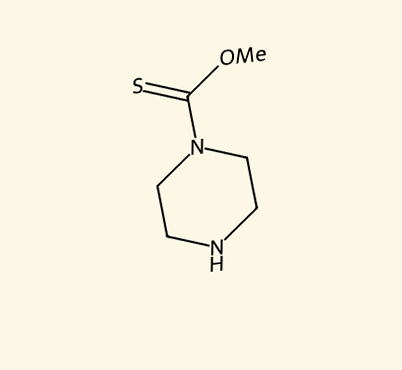 COC(=S)N1CCNCC1